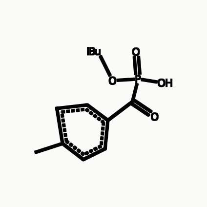 CCC(C)OP(=O)(O)C(=O)c1ccc(C)cc1